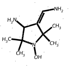 CC1(C)C(=CN)C(N)C(C)(C)N1O